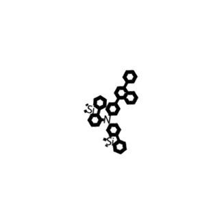 C[Si]1(C)c2ccccc2-c2ccc(N(c3ccc(-c4ccc(-c5ccccc5)c5ccccc45)cc3)c3cccc4c3-c3ccccc3[Si]4(C)C)cc21